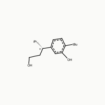 CC(C)[C@@H](CCO)c1ccc(C(C)(C)C)c(O)c1